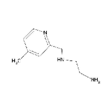 Cc1ccnc(CNCCN)c1